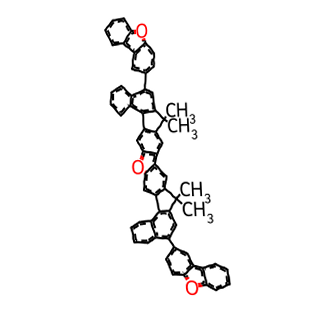 CC1(C)c2cc3c(cc2-c2c1cc(-c1ccc4oc5ccccc5c4c1)c1ccccc21)oc1cc2c(cc13)C(C)(C)c1cc(-c3ccc4oc5ccccc5c4c3)c3ccccc3c1-2